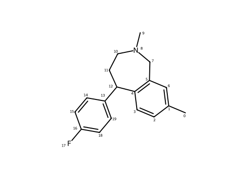 Cc1ccc2c(c1)CN(C)CCC2c1ccc(F)cc1